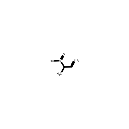 C=CC(C)S(O)=S